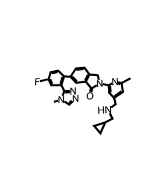 Cc1cc(CNCC2CC2)cc(N2Cc3ccc(-c4ccc(F)cc4-c4nncn4C)cc3C2=O)n1